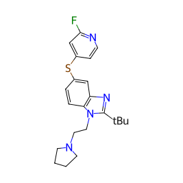 CC(C)(C)c1nc2cc(Sc3ccnc(F)c3)ccc2n1CCN1CCCC1